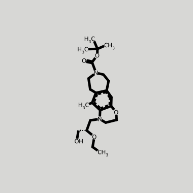 CCO[C@H](CO)CN1CCOc2cc3c(c(C)c21)CCN(C(=O)OC(C)(C)C)CC3